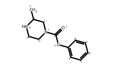 CC1CN(C(=O)Oc2ccccc2)CCN1